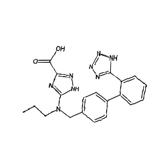 CCCN(Cc1ccc(-c2ccccc2-c2nnn[nH]2)cc1)c1nc(C(=O)O)n[nH]1